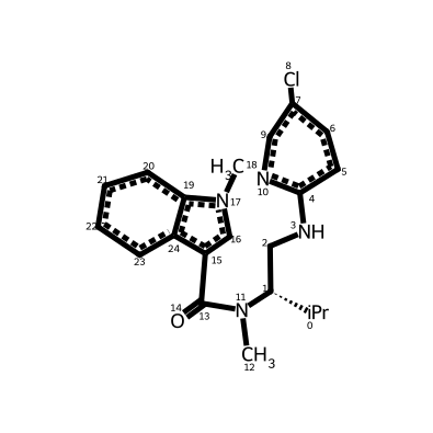 CC(C)[C@@H](CNc1ccc(Cl)cn1)N(C)C(=O)c1cn(C)c2ccccc12